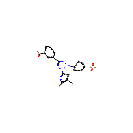 Cc1cc(N2N=C(c3cccc(C(=O)O)c3)NN2c2ccc(S(=O)(=O)O)cc2)[nH]c1C